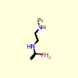 C=C(P)NCCNC(C)C